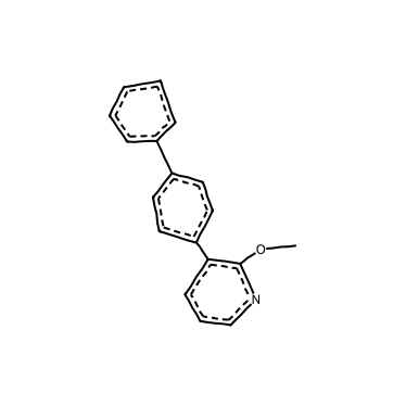 COc1ncccc1-c1ccc(-c2ccccc2)cc1